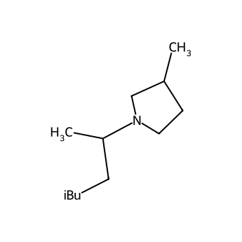 CCC(C)CC(C)N1CCC(C)C1